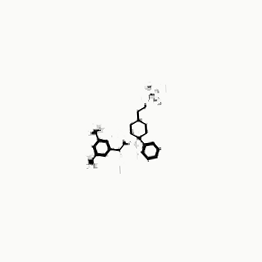 C[C@H](C(=O)NC1(c2ccccc2)CCC(CCOS(C)(=O)=O)CC1)c1cc(C(F)(F)F)cc(C(F)(F)F)c1